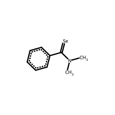 CN(C)C(=[Se])c1ccccc1